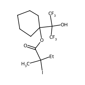 CCC(C)(I)C(=O)OC1(C(O)(C(F)(F)F)C(F)(F)F)CCCCC1